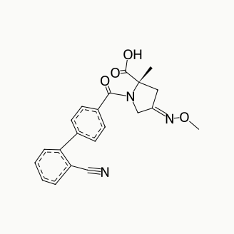 CON=C1CN(C(=O)c2ccc(-c3ccccc3C#N)cc2)[C@](C)(C(=O)O)C1